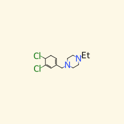 CCN1CCN(CC2=CCC(Cl)C(Cl)=C2)CC1